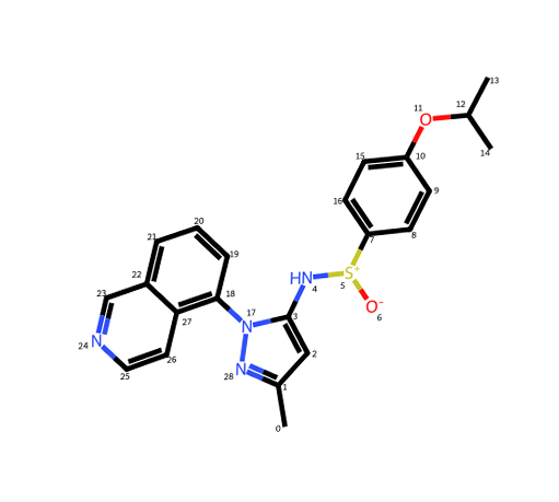 Cc1cc(N[S+]([O-])c2ccc(OC(C)C)cc2)n(-c2cccc3cnccc23)n1